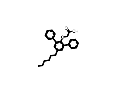 CCCCCCc1cc(-c2ccccc2)c(OCC(=O)O)c(-c2ccccc2)c1